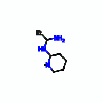 CCC(N)NC1CCCC[N]1